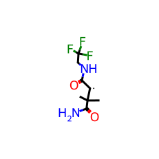 CC(C)([CH]C(=O)NCC(F)(F)F)C(N)=O